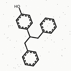 Oc1ccc(C(Cc2ccccc2)Cc2ccccc2)cc1